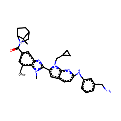 COc1cc(C(=O)N2CC3CCC2[C@@H]3C)cc2nc(-c3cc4ccc(Nc5cccc(CN)c5)nc4n3CC3CC3)n(C)c12